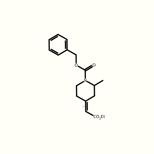 CCOC(=O)/C=C1/CCN(C(=O)OCc2ccccc2)C(C)C1